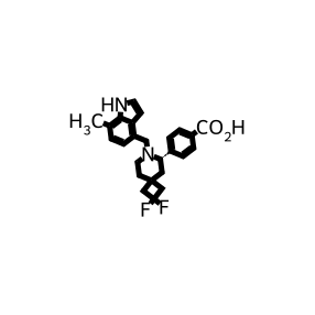 Cc1ccc(CN2CCC3(C[C@H]2c2ccc(C(=O)O)cc2)CC(F)(F)C3)c2cc[nH]c12